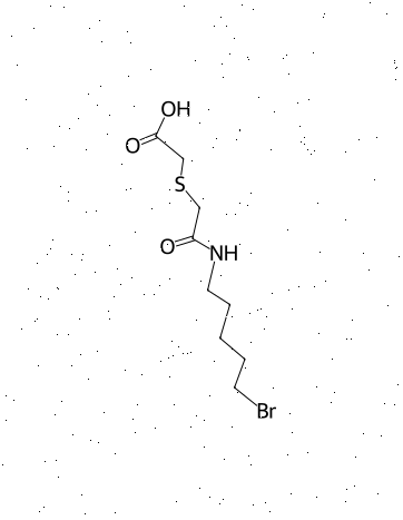 O=C(O)CSCC(=O)NCCCCCBr